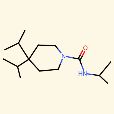 CC(C)NC(=O)N1CCC(C(C)C)(C(C)C)CC1